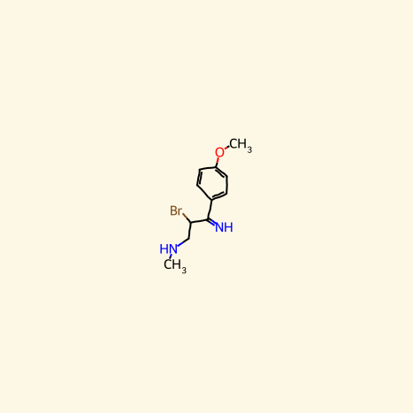 CNCC(Br)C(=N)c1ccc(OC)cc1